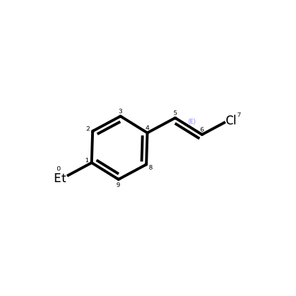 CCc1ccc(/C=C/Cl)cc1